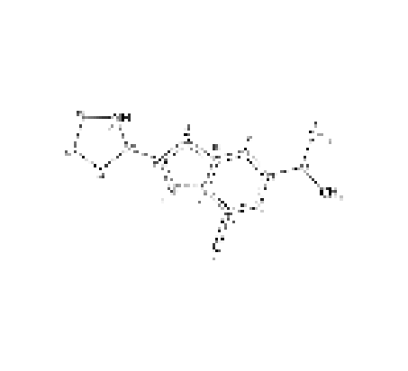 CC(C)c1cc(=O)n2nc(C3CCCN3)sc2n1